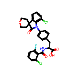 O=C(N[C@@H](Cc1ccc(N2C(=O)C3(CCOCC3)c3cccc(Cl)c32)cc1)C(=O)O)c1c(F)cccc1Cl